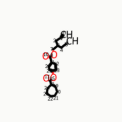 C#CCC(CC#C)COC(=O)c1ccc(OC(=O)C2CCCCCC2)cc1